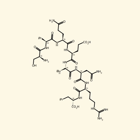 CC[C@H](C)[C@H](NC(=O)[C@H](CCC(=O)O)NC(=O)[C@H](CCC(N)=O)NC(=O)[C@@H](NC(=O)[C@@H](N)CO)C(C)C)C(=O)N[C@@H](CC(N)=O)C(=O)N[C@@H](CCCNC(=N)N)C(=O)N[C@@H](CC(C)C)C(=O)O